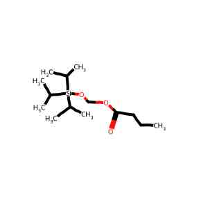 CCCC(=O)OCO[Si](C(C)C)(C(C)C)C(C)C